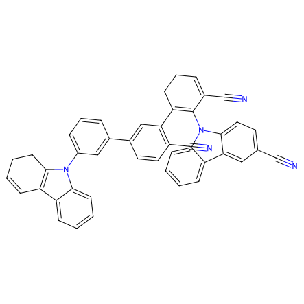 N#CC1=CCCC(c2cc(-c3cccc(-n4c5c(c6ccccc64)C=CCC5)c3)ccc2C#N)=C1n1c2ccccc2c2cc(C#N)ccc21